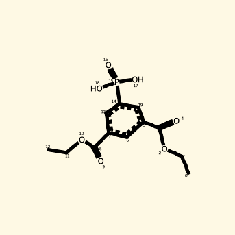 CCOC(=O)c1cc(C(=O)OCC)cc(P(=O)(O)O)c1